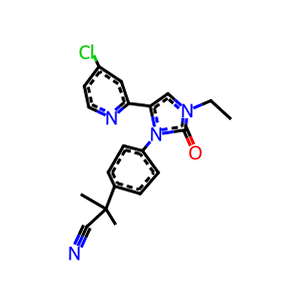 CCn1cc(-c2cc(Cl)ccn2)n(-c2ccc(C(C)(C)C#N)cc2)c1=O